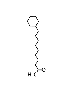 CC(=O)CCCCCCCCC1CCCCC1